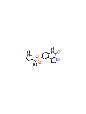 CCN(C1CCNC1)S(=O)(=O)c1ccc2[nH]c(=O)c3[nH]ccc3c2c1